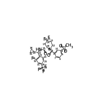 CS(=O)(=O)c1cccc(C(=O)N2CCC(F)(F)C[C@H]2C(=O)NC(c2ccc(C(F)(F)F)cc2F)C2CC2)c1